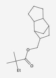 CCC(C)(C)C(=O)OCC1CC2CC1C1CCCC21